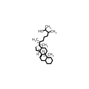 CC(O)C(C)CCC[C@@H](C)[C@H]1CC[C@H]2C3=CCC4CCCC[C@]4(C)[C@H]3CC[C@]12C